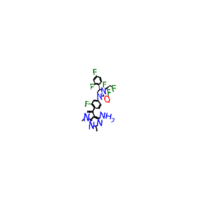 Cc1nc(N)c2c(-c3ccc(N4CC(c5ccc(F)cc5F)N(C(F)(F)CF)C4=O)cc3F)cn(C)c2n1